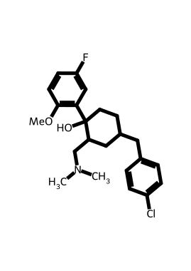 COc1ccc(F)cc1C1(O)CCC(Cc2ccc(Cl)cc2)CC1CN(C)C